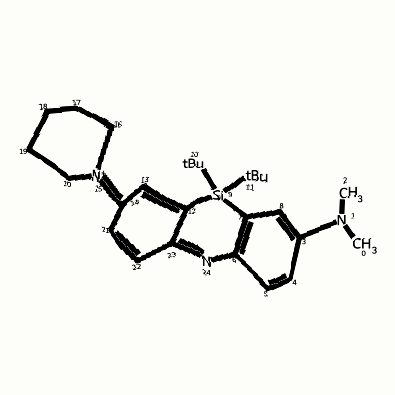 CN(C)c1ccc2c(c1)[Si](C(C)(C)C)(C(C)(C)C)C1=CC(=[N+]3CCCCC3)C=CC1=N2